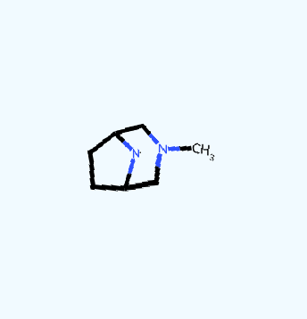 CN1CC2CCC(C1)[N]2